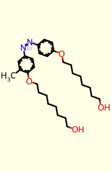 Cc1cc(/N=N\c2ccc(OCCCCCCCCO)cc2)ccc1OCCCCCCCCO